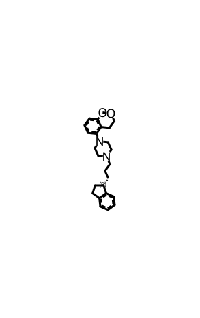 c1ccc2c(c1)CC[C@@H]2CCCN1CCN(c2cccc3c2CCOO3)CC1